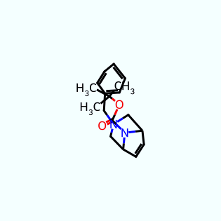 CC(C)(C)OC(=O)N1C2C=CC1CN(Cc1ccccc1)C2